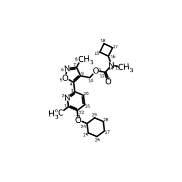 Cc1nc(-c2onc(C)c2COC(=O)N(C)C2CCC2)ccc1OC1CCCCC1